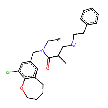 CC(C)CN(Cc1cc(Cl)c2c(c1)CCCCO2)C(=O)C(C)CNCCc1ccccc1